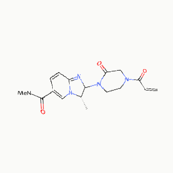 C=CC(=O)N1CCN(C2N=C3C=CC(C(=O)NC)=CN3[C@H]2C)C(=O)C1